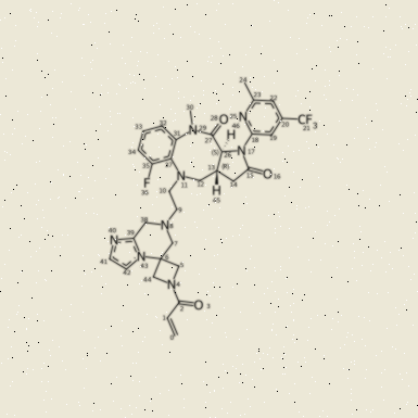 C=CC(=O)N1CC2(CN(CCN3C[C@H]4CC(=O)N(c5cc(C(F)(F)F)cc(C)n5)[C@@H]4C(=O)N(C)c4cccc(F)c43)Cc3nccn32)C1